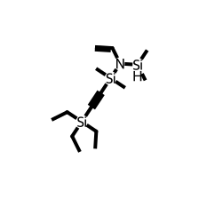 C=CN([SiH](C)C)[Si](C)(C)C#C[Si](CC)(CC)CC